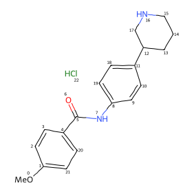 COc1ccc(C(=O)Nc2ccc(C3CCCNC3)cc2)cc1.Cl